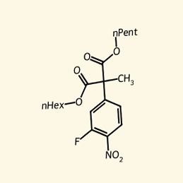 CCCCCCOC(=O)C(C)(C(=O)OCCCCC)c1ccc([N+](=O)[O-])c(F)c1